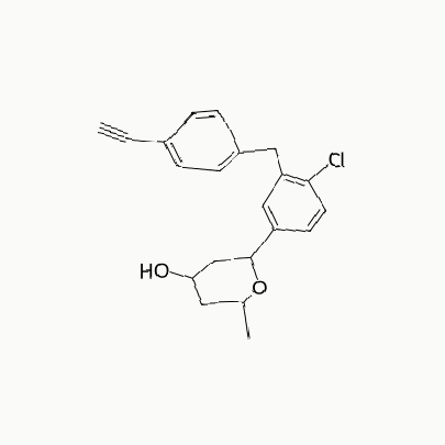 C#Cc1ccc(Cc2cc(C3CC(O)CC(C)O3)ccc2Cl)cc1